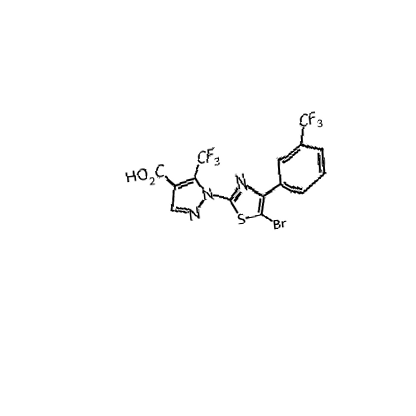 O=C(O)c1cnn(-c2nc(-c3cccc(C(F)(F)F)c3)c(Br)s2)c1C(F)(F)F